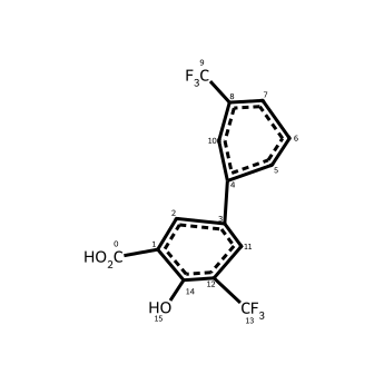 O=C(O)c1cc(-c2cccc(C(F)(F)F)c2)cc(C(F)(F)F)c1O